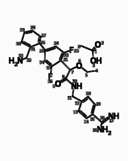 CC(=O)O.CCOC(C(=O)NCc1ccc(C(=N)N)cc1)c1c(F)cc(-c2ccccc2CN)cc1F